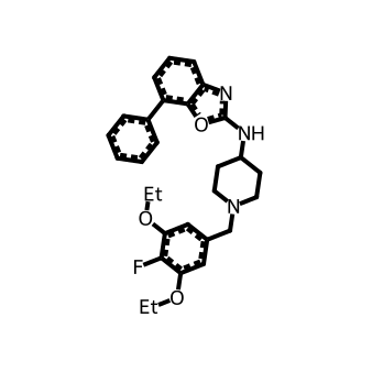 CCOc1cc(CN2CCC(Nc3nc4cccc(-c5ccccc5)c4o3)CC2)cc(OCC)c1F